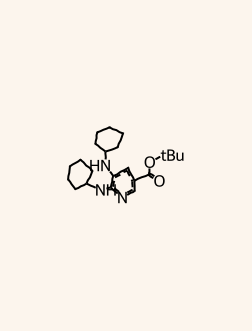 CC(C)(C)OC(=O)c1cnc(NC2CCCCC2)c(NC2CCCCC2)c1